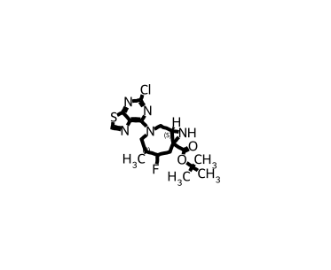 C[C@@H]1CN(c2nc(Cl)nc3scnc23)C[C@@H]2NC2(C(=O)OC(C)(C)C)CC1F